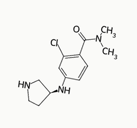 CN(C)C(=O)c1ccc(N[C@H]2CCNC2)cc1Cl